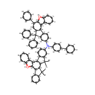 CC1(C)c2ccccc2-c2c1c1c(c3c2oc2ccccc23)-c2ccc(N(c3ccc(-c4ccccc4)cc3)c3ccc4c(c3)C(c3ccccc3)(c3ccccc3)c3cc(-c5ccccc5)c5oc6ccccc6c5c3-4)cc2C1(C)C